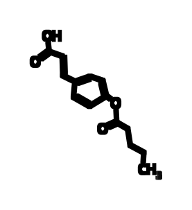 CCCCC(=O)Oc1ccc(/C=C/C(=O)O)cc1